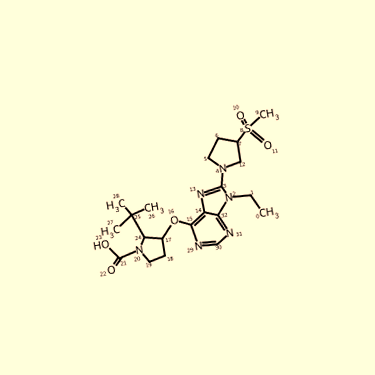 CCn1c(N2CCC(S(C)(=O)=O)C2)nc2c(OC3CCN(C(=O)O)C3C(C)(C)C)ncnc21